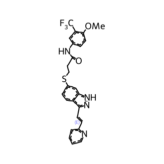 COc1ccc(NC(=O)CCSc2ccc3c(/C=C/c4ccccn4)n[nH]c3c2)cc1C(F)(F)F